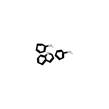 C1=Cc2ccccc2OC1.Cc1ccccc1.Cc1ccccc1